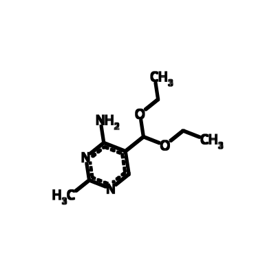 CCOC(OCC)c1cnc(C)nc1N